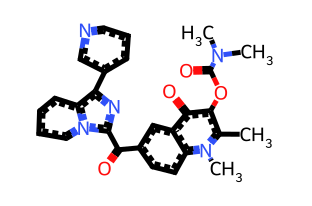 Cc1c(OC(=O)N(C)C)c(=O)c2cc(C(=O)c3nc(-c4cccnc4)c4ccccn34)ccc2n1C